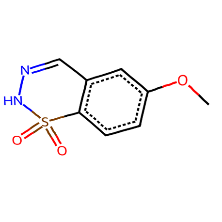 COc1ccc2c(c1)C=NNS2(=O)=O